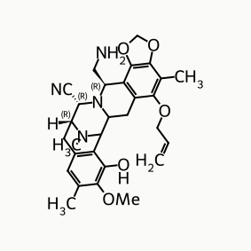 C=CCOc1c(C)c2c(c3c1CC1C4c5c(cc(C)c(OC)c5O)C[C@H]([C@H](C#N)N1[C@H]3CN)N4C)OCO2